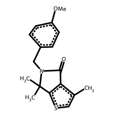 COc1ccc(CN2C(=O)c3c(C)csc3C2(C)C)cc1